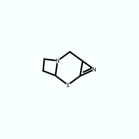 C1CN2CC3N=C3SC12